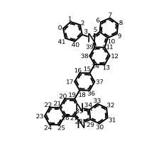 c1ccc(-n2c3ccccc3c3ccc(-c4ccc(-c5cc6ccccc6c6nc7ccccc7n56)cc4)cc32)cc1